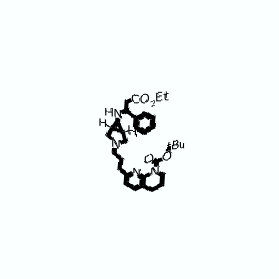 CCOC(=O)CC(NC1[C@H]2CN(CCCc3ccc4c(n3)N(C(=O)OC(C)(C)C)CCC4)C[C@@H]12)c1ccccc1